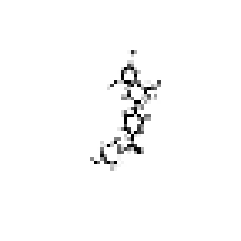 Cc1cc(F)cc2c(=O)[nH]c(-c3ccc(C(=O)N4CCN(C)CC4)nc3)cc12